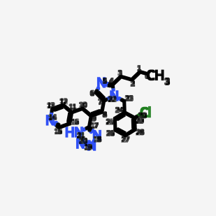 CCCCc1ncc(/C=C(\Cc2ccncc2)c2nnn[nH]2)n1Cc1ccccc1Cl